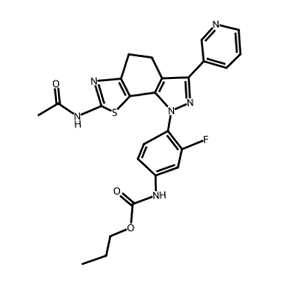 CCCOC(=O)Nc1ccc(-n2nc(-c3cccnc3)c3c2-c2sc(NC(C)=O)nc2CC3)c(F)c1